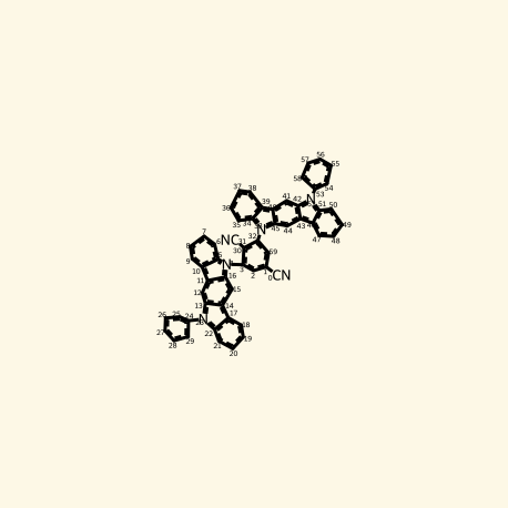 N#Cc1cc(-n2c3ccccc3c3cc4c(cc32)c2ccccc2n4-c2ccccc2)c(C#N)c(-n2c3ccccc3c3cc4c(cc32)c2ccccc2n4-c2ccccc2)c1